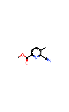 COC(=O)c1ccc(C)c(C#N)n1